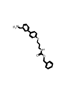 NCc1cccc(-c2ccc(OCCCNC(=O)OCc3ccccc3)cc2)c1